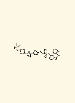 Cc1cccc(N2C(=O)CS/C2=N\C(=O)N/C=C/c2ccc(-c3ncn(-c4ccc(OC(F)(F)F)cc4)n3)cc2)c1C(C)C